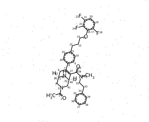 CC(=O)N1C[C@H]2CC(c3ccc(CCCOc4c(F)ccc(F)c4F)cc3)=C(C(=O)N(C)CCc3ccccc3)[C@@H](C1)N2